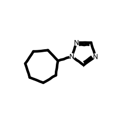 [c]1ncnn1C1CCCCCC1